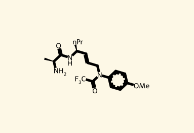 CCC[C@@H](/C=C/CN(C(=O)C(F)(F)F)c1ccc(OC)cc1)NC(=O)[C@H](C)N